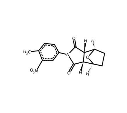 Cc1ccc(N2C(=O)[C@@H]3[C@H](C2=O)[C@H]2CC[C@@H]3O2)cc1[N+](=O)[O-]